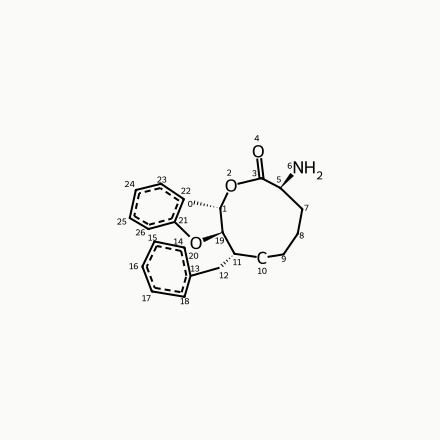 C[C@@H]1OC(=O)[C@@H](N)CCCC[C@H](Cc2ccccc2)[C@H]1Oc1ccccc1